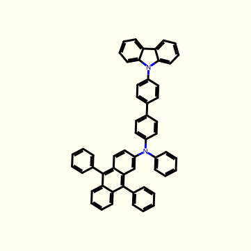 c1ccc(-c2c3ccccc3c(-c3ccccc3)c3cc(N(c4ccccc4)c4ccc(-c5ccc(-n6c7ccccc7c7ccccc76)cc5)cc4)ccc23)cc1